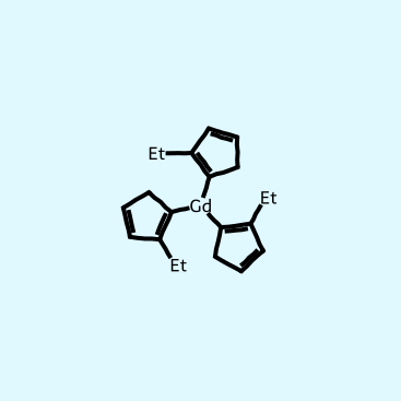 CCC1=[C]([Gd]([C]2=C(CC)C=CC2)[C]2=C(CC)C=CC2)CC=C1